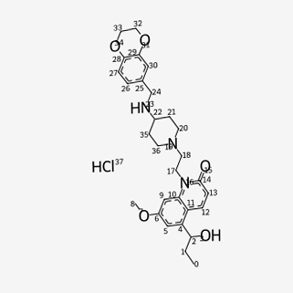 CCC(O)c1cc(OC)cc2c1ccc(=O)n2CCN1CCC(NCc2ccc3c(c2)OCCO3)CC1.Cl